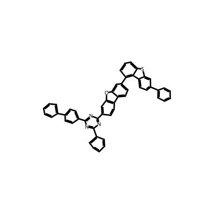 c1ccc(-c2ccc(-c3nc(-c4ccccc4)nc(-c4ccc5c(c4)oc4cc(-c6cccc7sc8cc(-c9ccccc9)ccc8c67)ccc45)n3)cc2)cc1